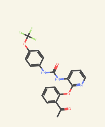 CC(=O)c1ccccc1Oc1ncccc1NC(=O)Nc1ccc(OC(F)(F)F)cc1